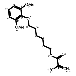 C=C(C)C(=O)OCCCCCCOc1c(OC)cccc1OC